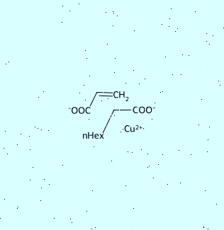 C=CC(=O)[O-].CCCCCCCC(=O)[O-].[Cu+2]